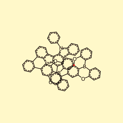 c1ccc(-n2c3ccccc3c3cc(-c4ccccc4-c4cc5c6c(c4)Oc4ccccc4B6c4ccccc4O5)c4sc5c(-c6ccccc6-c6cc7c8c(c6)Oc6ccccc6B8c6ccccc6O7)cccc5c4c32)cc1